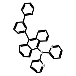 c1ccc(-c2cccc(-c3c4ccccc4c(N(c4ccccn4)c4ccccn4)c4ccccc34)c2)cc1